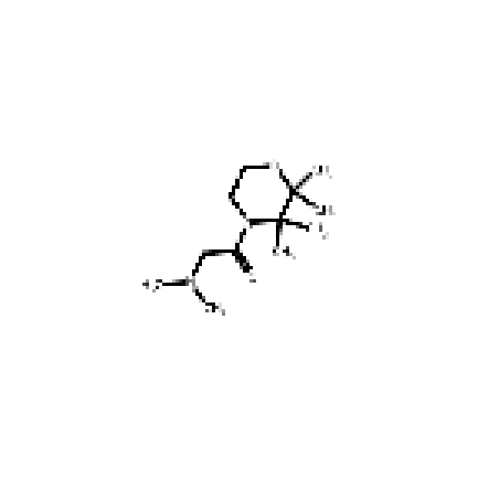 CN(C)CC(=O)N1CCOC(C)(C)C1(C)C